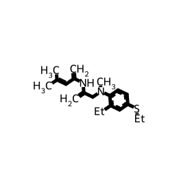 C=C(C=C(C)C)NC(=C)CN(C)c1ccc(SCC)cc1CC